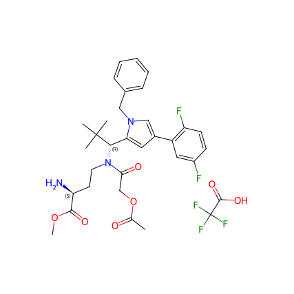 COC(=O)[C@@H](N)CCN(C(=O)COC(C)=O)[C@@H](c1cc(-c2cc(F)ccc2F)cn1Cc1ccccc1)C(C)(C)C.O=C(O)C(F)(F)F